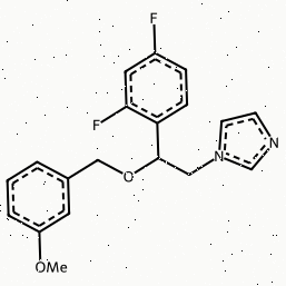 COc1cccc(COC(Cn2ccnc2)c2ccc(F)cc2F)c1